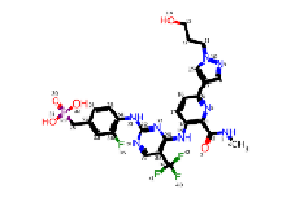 CNC(=O)c1nc(-c2cnn(CCCO)c2)ccc1Nc1nc(Nc2ccc(CP(=O)(O)O)cc2F)ncc1C(F)(F)F